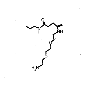 C=C(CCC(=O)NCCC)NCCOCCOCCN